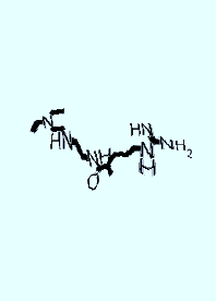 CCN(CC)CCNCCNC(=O)C(C)CCCNC(=N)N